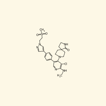 CNc1ncc(-c2ccc(-c3cnn(CCS(C)(=O)=O)c3)cc2)c(N2CCC3(CCNC3=O)CC2)c1Cl